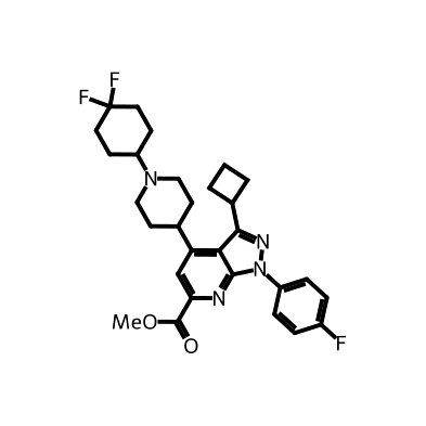 COC(=O)c1cc(C2CCN(C3CCC(F)(F)CC3)CC2)c2c(C3CCC3)nn(-c3ccc(F)cc3)c2n1